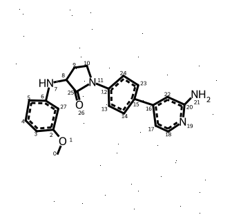 COc1cccc(NC2CCN(c3ccc(-c4ccnc(N)c4)cc3)C2=O)c1